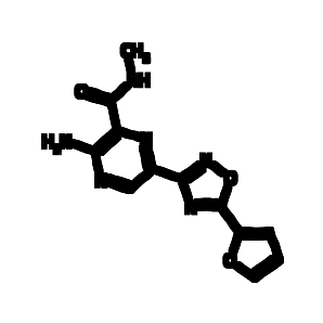 CNC(=O)c1nc(-c2noc(-c3ccco3)n2)cnc1N